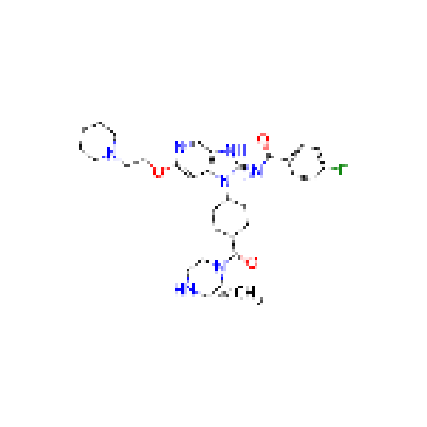 C[C@@H]1CNCCN1C(=O)C1CCC(n2/c(=N/C(=O)c3ccc(F)cc3)[nH]c3cnc(OCCN4CCCCC4)cc32)CC1